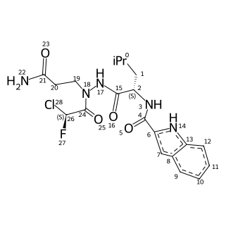 CC(C)C[C@H](NC(=O)c1cc2ccccc2[nH]1)C(=O)NN(CCC(N)=O)C(=O)[C@@H](F)Cl